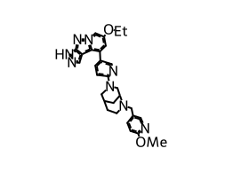 CCOc1cc(-c2ccc(N3CC4CCN(Cc5ccc(OC)nc5)C(C4)C3)nc2)c2c3cn[nH]c3nn2c1